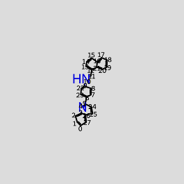 c1ccc2nc(-c3ccc(NCc4cccc5ccccc45)cc3)ccc2c1